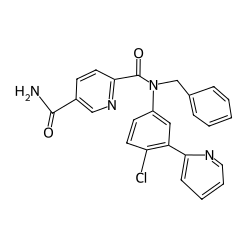 NC(=O)c1ccc(C(=O)N(Cc2ccccc2)c2ccc(Cl)c(-c3ccccn3)c2)nc1